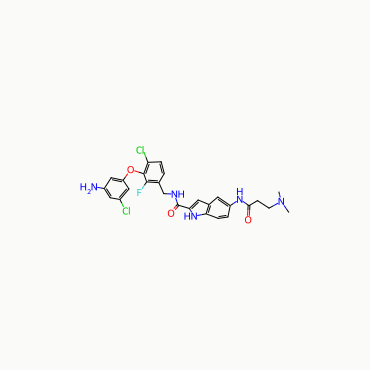 CN(C)CCC(=O)Nc1ccc2[nH]c(C(=O)NCc3ccc(Cl)c(Oc4cc(N)cc(Cl)c4)c3F)cc2c1